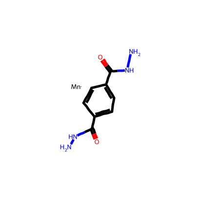 NNC(=O)c1ccc(C(=O)NN)cc1.[Mn]